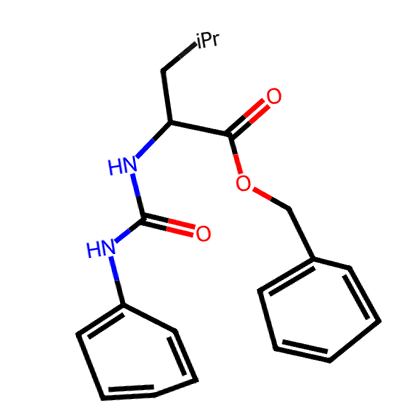 CC(C)CC(NC(=O)Nc1ccccc1)C(=O)OCc1ccccc1